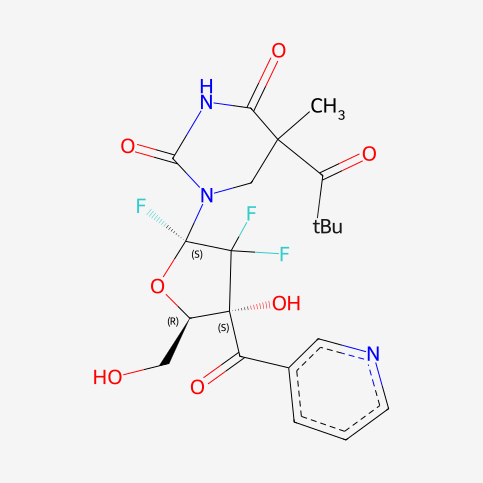 CC(C)(C)C(=O)C1(C)CN([C@]2(F)O[C@H](CO)[C@](O)(C(=O)c3cccnc3)C2(F)F)C(=O)NC1=O